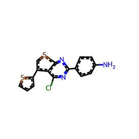 Nc1ccc(-c2nc(Cl)c3c(-c4cccs4)csc3n2)cc1